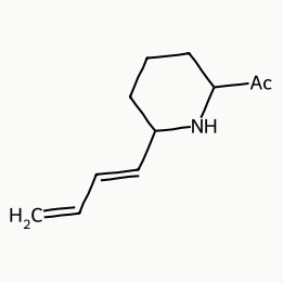 C=C/C=C/C1CCCC(C(C)=O)N1